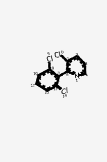 Clc1c[c]cnc1-c1c(Cl)cccc1Cl